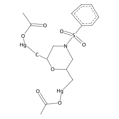 CC(=O)[O][Hg][CH2]C1CN(S(=O)(=O)c2ccccc2)CC([CH2][Hg][O]C(C)=O)O1